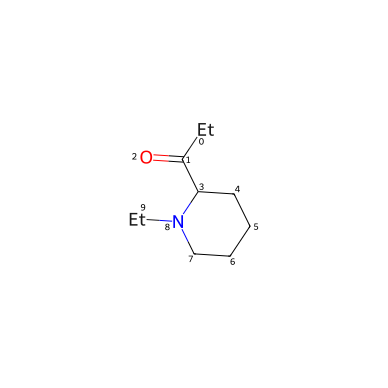 CCC(=O)C1CCCCN1CC